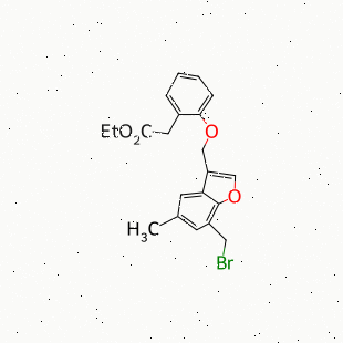 CCOC(=O)Cc1ccccc1OCc1coc2c(CBr)cc(C)cc12